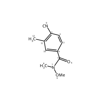 [C-]#[N+]c1ccc(C(=O)N(C)OC)cc1C